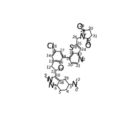 CN(C)C1CCc2nn(C)c(C3Cc4cc(Cl)cc(-c5ccnc6cc(CN7C(=O)CCC7=O)sc56)c4O3)c2C1